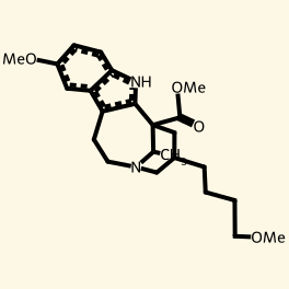 COCCCCC1CN2CCc3c([nH]c4ccc(OC)cc34)C(C(=O)OC)(C1)C2C